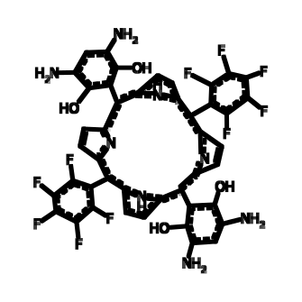 Nc1cc(N)c(O)c(-c2c3nc(c(-c4c(F)c(F)c(F)c(F)c4F)c4ccc([nH]4)c(-c4c(O)c(N)cc(N)c4O)c4nc(c(-c5c(F)c(F)c(F)c(F)c5F)c5ccc2[nH]5)C=C4)C=C3)c1O